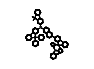 CC1(C)c2ccccc2-c2ccc(N(c3ccc4c(c3)C(c3ccccc3)(c3ccccc3)c3ccccc3-4)c3ccc4cc(-c5ccc6c(c5)C5(c7ccccc7-6)c6ccccc6-n6c7ccccc7c7cccc5c76)ccc4c3)cc21